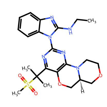 CCNc1nc2ccccc2n1-c1nc2c(c(C(C)(C)S(C)(=O)=O)n1)OC[C@@H]1COCCN21